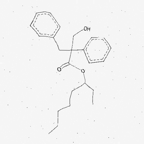 CCCCCC(CC)OC(=O)C(CO)(Cc1ccccc1)c1ccccc1